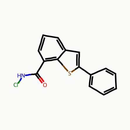 O=C(NCl)c1cccc2cc(-c3ccccc3)sc12